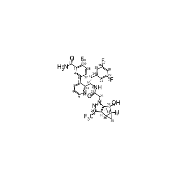 NC(=O)c1cc(-c2cccnc2[C@H](Cc2cc(F)cc(F)c2)NC(=O)Cn2nc(C(F)(F)F)c3c2[C@@H](O)[C@@H]2CC32)ccc1F